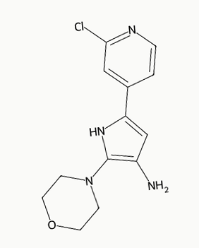 Nc1cc(-c2ccnc(Cl)c2)[nH]c1N1CCOCC1